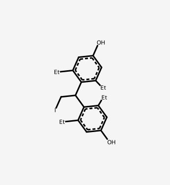 CCc1cc(O)cc(CC)c1C(CI)c1c(CC)cc(O)cc1CC